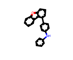 c1ccc(Nc2ccc(-c3cccc4oc5ccccc5c34)cc2)cc1